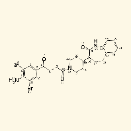 Nc1c(Br)cc(C(=O)CCC(=O)N2CCC(N3CCc4ccccc4NC3=O)CC2)cc1Br